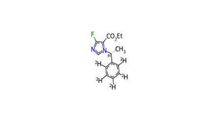 [2H]c1c([2H])c([2H])c([C@@H](C)n2cnc(F)c2C(=O)OCC)c([2H])c1[2H]